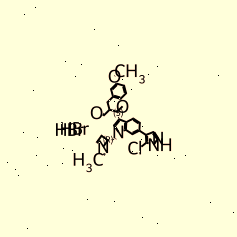 Br.Br.CCN1CC[C@@H]1Cn1cc([C@H]2Oc3ccc(OC)cc3CC2C=O)c2ccc(-c3cn[nH]c3Cl)cc21